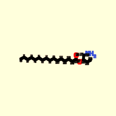 CCCCCCCCCCCCCCCC(=O)OC(CC)CN